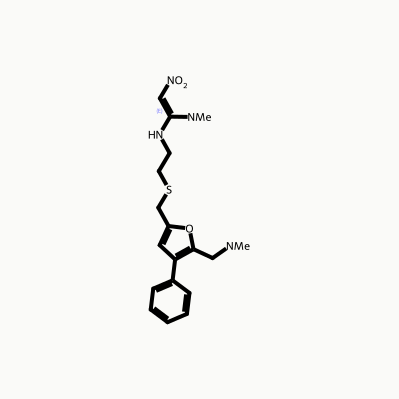 CNCc1oc(CSCCN/C(=C/[N+](=O)[O-])NC)cc1-c1ccccc1